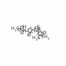 COC(=O)C(=O)NCc1ccc(/C=C/C(c2cc(C)c(C)c(Cl)c2)C(F)(F)F)cc1Cl